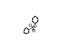 O=S(=O)(Oc1ccccc1)c1ccccc1